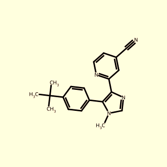 Cn1cnc(-c2cc(C#N)ccn2)c1-c1ccc(C(C)(C)C)cc1